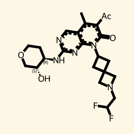 CC(=O)c1c(C)c2cnc(N[C@@H]3CCOC[C@H]3O)nc2n(C2CC3(C2)CN(CC(F)F)C3)c1=O